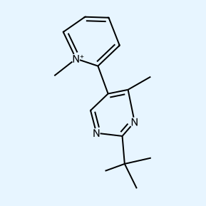 Cc1nc(C(C)(C)C)ncc1-c1cccc[n+]1C